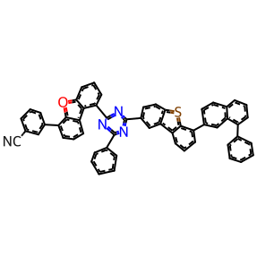 N#Cc1cccc(-c2cccc3c2oc2cccc(-c4nc(-c5ccccc5)nc(-c5ccc6sc7c(-c8ccc9cccc(-c%10ccccc%10)c9c8)cccc7c6c5)n4)c23)c1